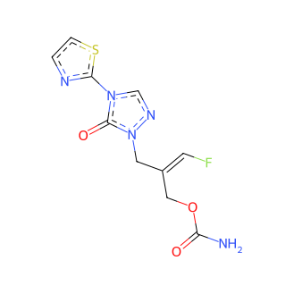 NC(=O)OCC(=CF)Cn1ncn(-c2nccs2)c1=O